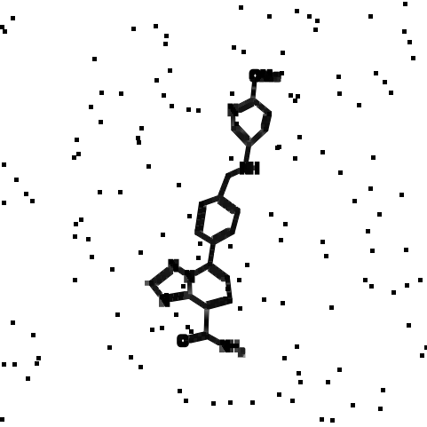 COc1ccc(NCc2ccc(-c3ccc(C(N)=O)c4n[c]nn34)cc2)cn1